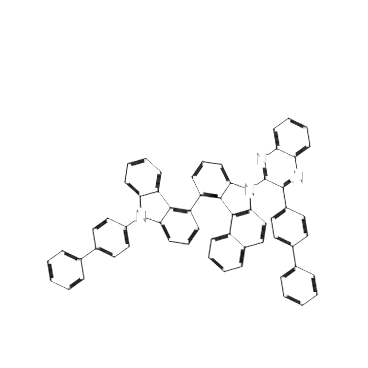 c1ccc(-c2ccc(-c3nc4ccccc4nc3-n3c4cccc(-c5cccc6c5c5ccccc5n6-c5ccc(-c6ccccc6)cc5)c4c4c5ccccc5ccc43)cc2)cc1